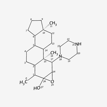 CC1C2CCC3C4CCC[C@@]4(C)CCC3[C@@]2(C)C(N2CCNCC2)C2OC12O